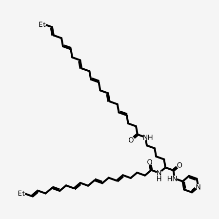 CCC=CCC=CCC=CCC=CCC=CCC=CCCC(=O)NCCCCC(NC(=O)CCCC=CCC=CCC=CCC=CCC=CCC)C(=O)Nc1ccncc1